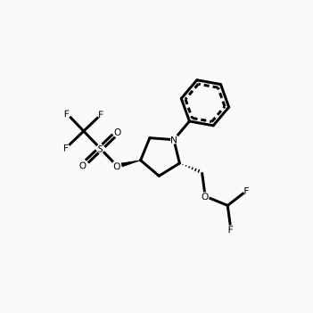 O=S(=O)(O[C@@H]1C[C@@H](COC(F)F)N(c2ccccc2)C1)C(F)(F)F